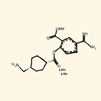 Br.Br.COC(=O)c1cc(C(=N)N)ccc1OC(=O)[C@H]1CC[C@H](CN)CC1